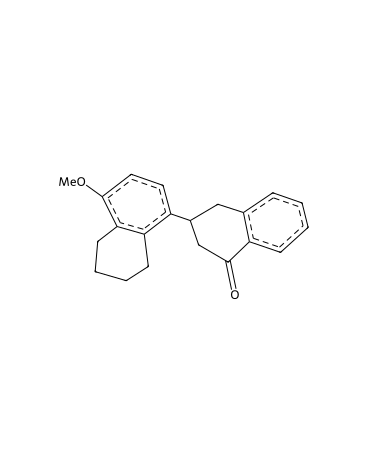 COc1ccc(C2CC(=O)c3ccccc3C2)c2c1CCCC2